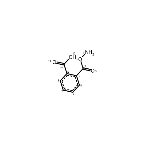 NOC(=O)c1ccccc1C(=O)O